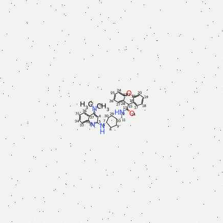 CN(C)c1cc(N[C@H]2CC[C@@H](CNC(=O)C3c4ccccc4Oc4ccccc43)CC2)nc2ccccc12